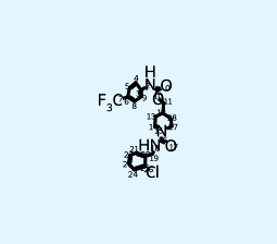 O=C(Nc1ccc(C(F)(F)F)cc1)OCC1CCN(C(=O)NCc2ccccc2Cl)CC1